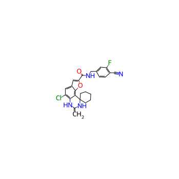 C=C1Nc2c(Cl)cc3cc(C(=O)NCc4ccc(C#N)c(F)c4)oc3c2C2(CCCCC2)N1